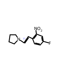 O=[N+]([O-])c1cc(F)ccc1/C=C/N1CCCC1